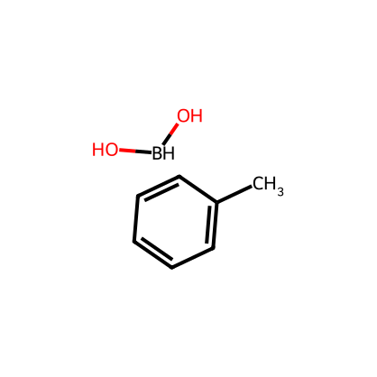 Cc1ccccc1.OBO